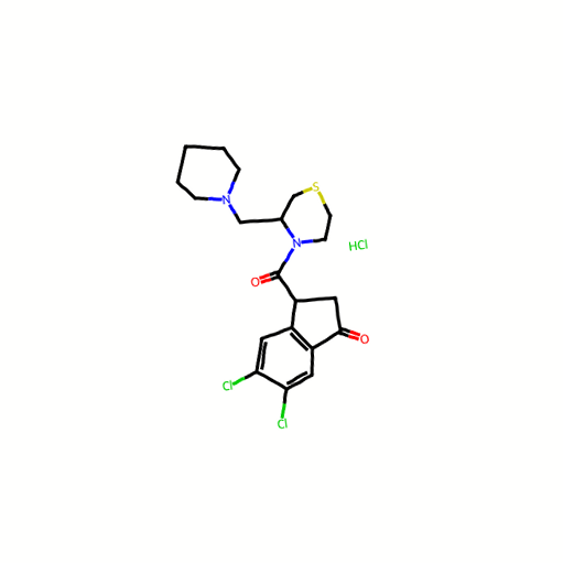 Cl.O=C1CC(C(=O)N2CCSCC2CN2CCCCC2)c2cc(Cl)c(Cl)cc21